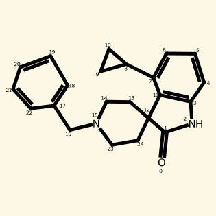 O=C1Nc2cccc(C3CC3)c2C12CCN(Cc1ccccc1)CC2